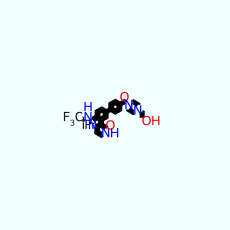 CC(C)[C@@H](Nc1nc2cc[nH]c(=O)c2c2cc(-c3ccc(C(=O)N4CCN(CCO)CC4)cc3)ccc12)C(F)(F)F